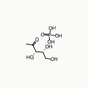 CC(=O)[C@@H](O)[C@H](O)CO.O=P(O)(O)O